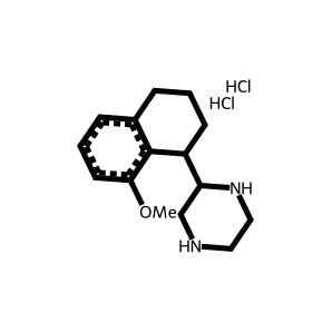 COc1cccc2c1C(C1CNCCN1)CCC2.Cl.Cl